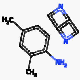 Cc1ccc(N)c(C)c1.c1nc2cnc1=2